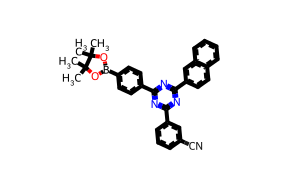 CC1(C)OB(c2ccc(-c3nc(-c4cccc(C#N)c4)nc(-c4ccc5ccccc5c4)n3)cc2)OC1(C)C